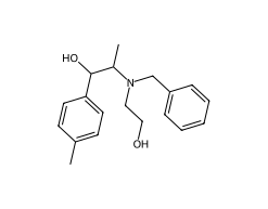 Cc1ccc(C(O)C(C)N(CCO)Cc2ccccc2)cc1